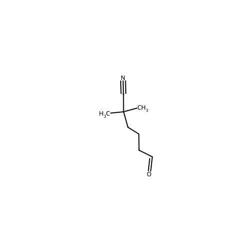 CC(C)(C#N)CCCC=O